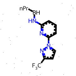 CCCBNc1cccc(-n2ccc(C(F)(F)F)n2)n1